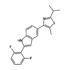 Cc1sc(C(C)C)nc1-c1ccc2[nH]c(-c3c(F)cccc3F)cc2c1